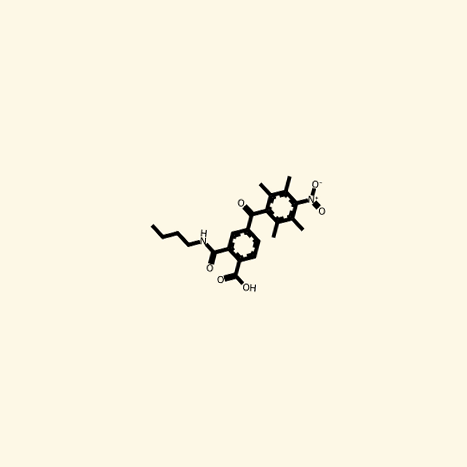 CCCCNC(=O)c1cc(C(=O)c2c(C)c(C)c([N+](=O)[O-])c(C)c2C)ccc1C(=O)O